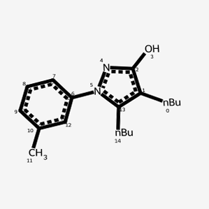 CCCCc1c(O)nn(-c2cccc(C)c2)c1CCCC